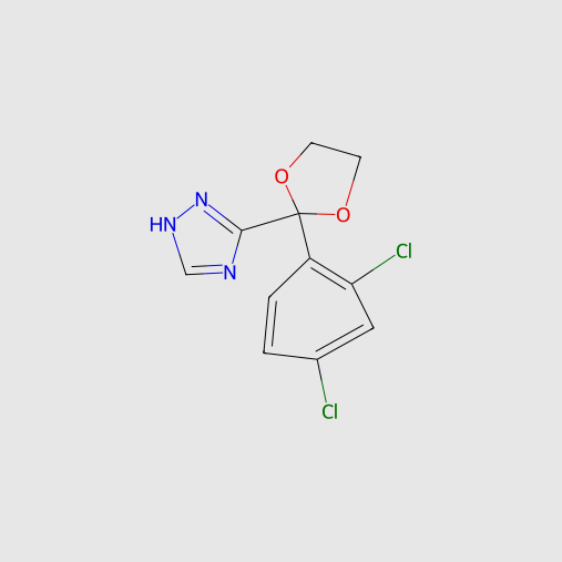 Clc1ccc(C2(c3nc[nH]n3)OCCO2)c(Cl)c1